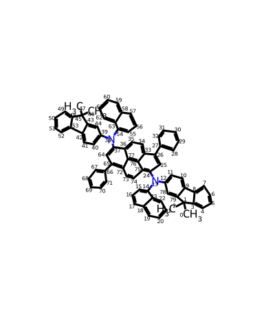 CC1(C)c2ccccc2-c2ccc(N(c3cccc4ccccc34)c3cc(-c4ccccc4)c4ccc5c(N(c6ccc7c(c6)C(C)(C)c6ccccc6-7)c6cccc7ccccc67)cc(-c6ccccc6)c6ccc3c4c65)cc21